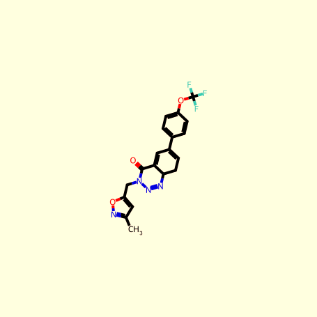 Cc1cc(CN2N=NC3CC=C(c4ccc(OC(F)(F)F)cc4)C=C3C2=O)on1